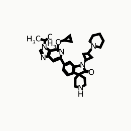 CC(C)n1cnc2cc(-c3ccc4c(c3)N(C3CC(N5CCCCC5)C3)C(=O)C43CCNCC3)nc(OC3CC3)c21